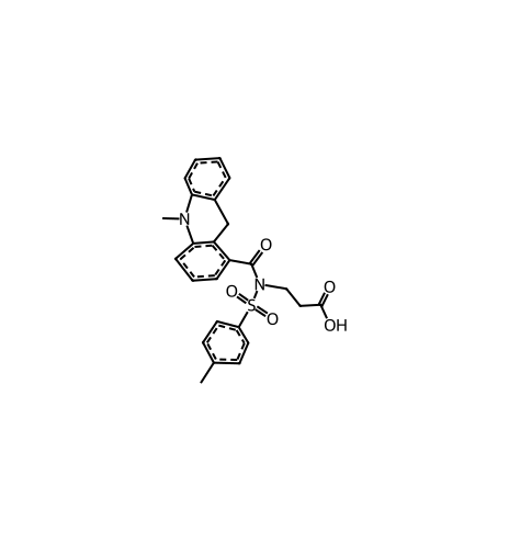 Cc1ccc(S(=O)(=O)N(CCC(=O)O)C(=O)c2cccc3c2Cc2ccccc2N3C)cc1